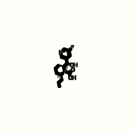 CCC[C@H]1CCC[C@H]([C@H](O)c2cncc(F)c2)N1C(=O)O